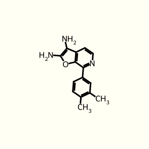 Cc1ccc(-c2nccc3c(N)c(N)oc23)cc1C